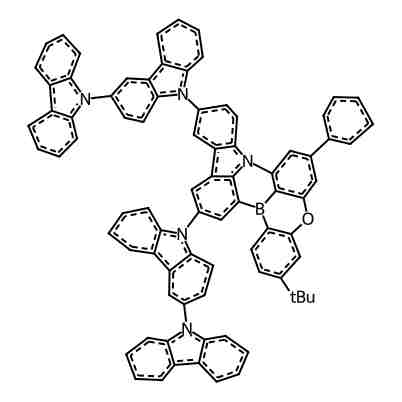 CC(C)(C)c1ccc2c(c1)Oc1cc(-c3ccccc3)cc3c1B2c1cc(-n2c4ccccc4c4cc(-n5c6ccccc6c6ccccc65)ccc42)cc2c4cc(-n5c6ccccc6c6cc(-n7c8ccccc8c8ccccc87)ccc65)ccc4n-3c12